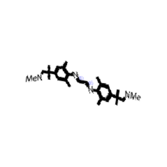 CNCC(C)(C)c1cc(C)c(/N=C/C=N/c2c(C)cc(C(C)(C)CNC)cc2C)c(C)c1